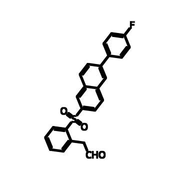 O=CCc1ccccc1S(=O)(=O)c1ccc2cc(-c3ccc(F)cc3)ccc2c1